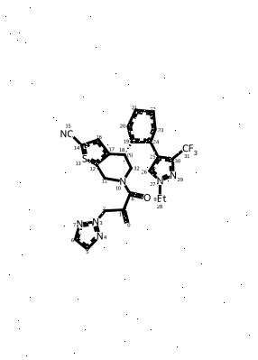 C=C(Cn1nccn1)C(=O)N1Cc2sc(C#N)cc2[C@H](c2ccccc2-c2cn(CC)nc2C(F)(F)F)C1